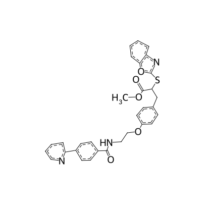 COC(=O)C(Cc1ccc(OCCNC(=O)c2ccc(-c3ccccn3)cc2)cc1)Sc1nc2ccccc2o1